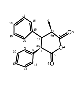 C[C@H]1C(=O)OC(=O)[C@@H](c2ccccc2)C1c1ccccc1